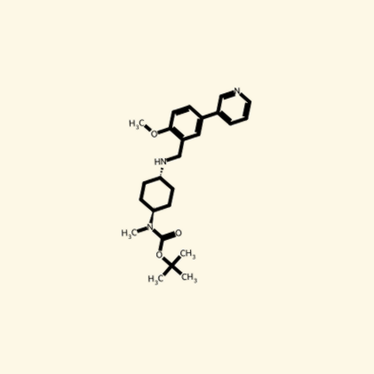 COc1ccc(-c2cccnc2)cc1CN[C@H]1CC[C@H](N(C)C(=O)OC(C)(C)C)CC1